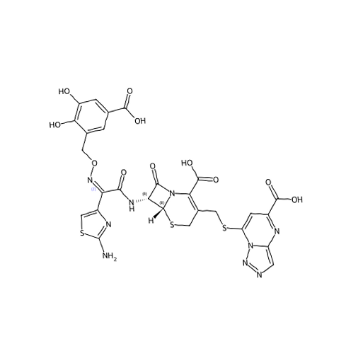 Nc1nc(/C(=N/OCc2cc(C(=O)O)cc(O)c2O)C(=O)N[C@@H]2C(=O)N3C(C(=O)O)=C(CSc4cc(C(=O)O)nc5cnnn45)CS[C@H]23)cs1